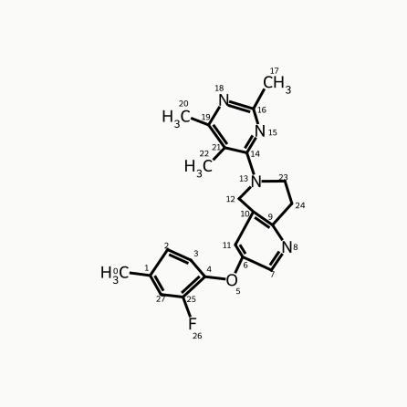 Cc1ccc(Oc2cnc3c(c2)CN(c2nc(C)nc(C)c2C)CC3)c(F)c1